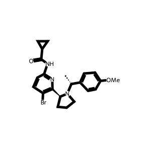 COc1ccc([C@@H](C)N2CCC[C@H]2c2nc(NC(=O)C3CC3)ccc2Br)cc1